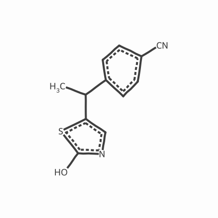 CC(c1ccc(C#N)cc1)c1cnc(O)s1